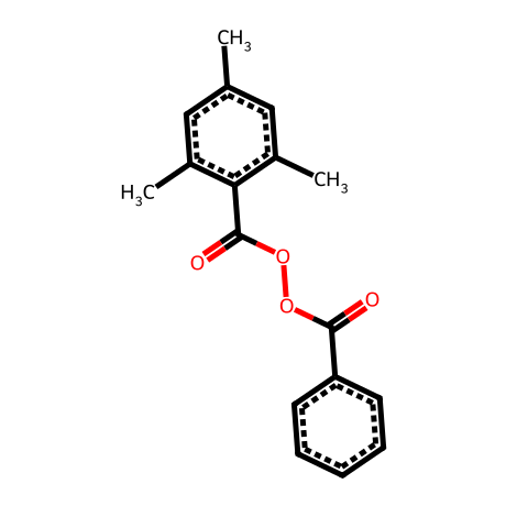 Cc1cc(C)c(C(=O)OOC(=O)c2ccccc2)c(C)c1